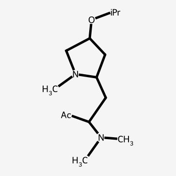 CC(=O)C(CC1CC(OC(C)C)CN1C)N(C)C